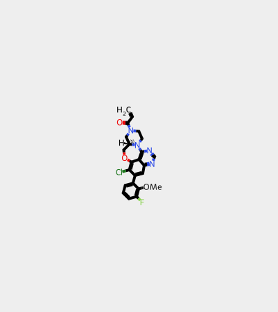 C=CC(=O)N1CCN2c3ncnc4cc(-c5cccc(F)c5OC)c(Cl)c(c34)OC[C@@H]2C1